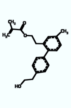 C=C(C)C(=O)OCCc1cc(C)ccc1-c1ccc(CCO)cc1